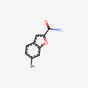 CC(C)c1ccc2cc(C(N)=O)oc2c1